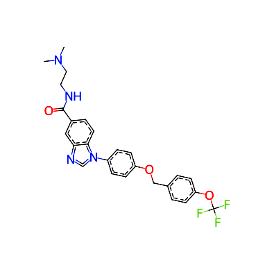 CN(C)CCNC(=O)c1ccc2c(c1)ncn2-c1ccc(OCc2ccc(OC(F)(F)F)cc2)cc1